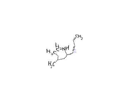 C=C/C=C\C(CC(C)C)NC